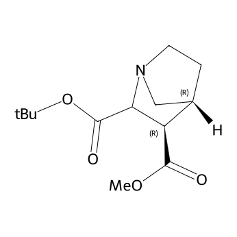 COC(=O)[C@H]1C(C(=O)OC(C)(C)C)N2CC[C@H]1C2